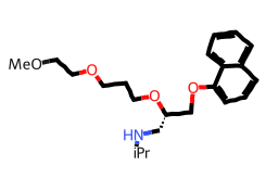 COCCOCCCO[C@@H](CNC(C)C)COc1cccc2ccccc12